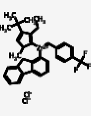 CCC1=[C](/[Zr+2](=[CH]/c2ccc(C(F)(F)F)cc2)[c]2cccc3c2Cc2ccccc2-3)C(C)C=C1C(C)(C)C.[Cl-].[Cl-]